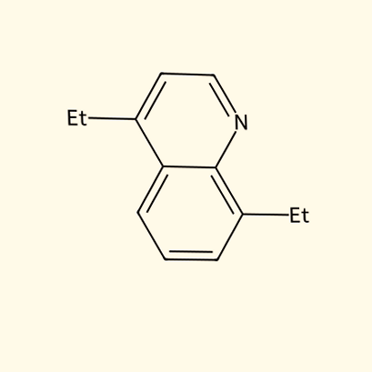 CCc1ccnc2c(CC)cccc12